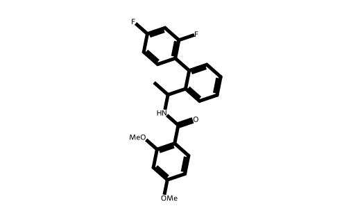 COc1ccc(C(=O)NC(C)c2ccccc2-c2ccc(F)cc2F)c(OC)c1